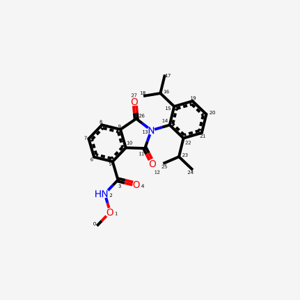 CONC(=O)c1cccc2c1C(=O)N(c1c(C(C)C)cccc1C(C)C)C2=O